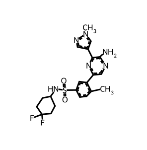 Cc1ccc(S(=O)(=O)NC2CCC(F)(F)CC2)cc1-c1cnc(N)c(-c2cnn(C)c2)n1